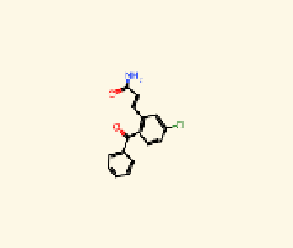 NC(=O)C=Cc1cc(Cl)ccc1C(=O)c1ccccc1